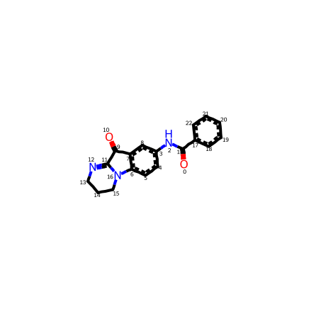 O=C(Nc1ccc2c(c1)C(=O)C1=NCCCN12)c1ccccc1